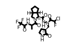 CC(NC(=O)C(F)(F)F)C(=O)N1C[C@@H]2CCC[C@@H]2[C@H]1C(=O)NN(C[C@@H]1CCNC1=O)C(=O)C(F)Cl